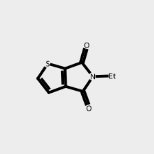 CCN1C(=O)c2ccsc2C1=O